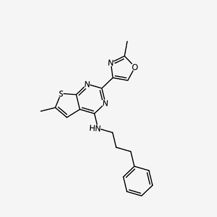 Cc1nc(-c2nc(NCCCc3ccccc3)c3cc(C)sc3n2)co1